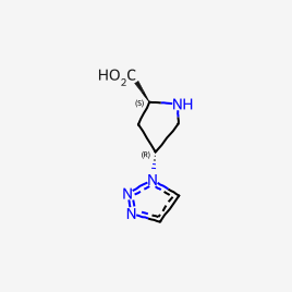 O=C(O)[C@@H]1C[C@@H](n2ccnn2)CN1